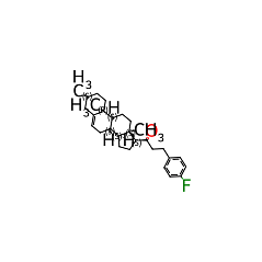 C[C@H]1CC[C@@]2(C)C(=CC[C@H]3[C@@H]4CC[C@H](C(=O)CCc5ccc(F)cc5)[C@@]4(C)CC[C@@H]32)C1